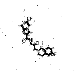 O=C(NCC(O)CN1CCc2cc(F)ccc2C1)c1cn2cc(C(F)(F)F)ncc2n1